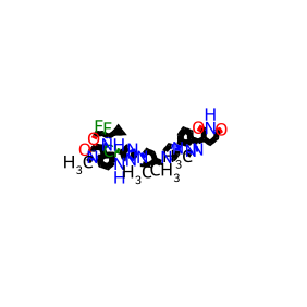 Cn1nc(C2CCC(=O)NC2=O)c2cccc(N3CCN(CC4CCN(c5ncc(Cl)c(Nc6ccc7c(c6)c6c(c(=O)n7C)OCC(F)(F)C(C7CC7)N6)n5)CC4(C)C)CC3)c21